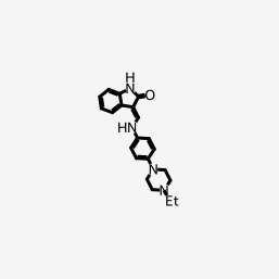 CCN1CCN(c2ccc(N/C=C3/C(=O)Nc4ccccc43)cc2)CC1